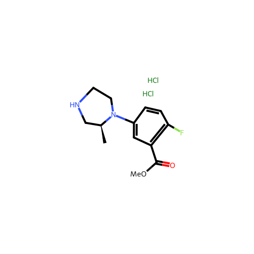 COC(=O)c1cc(N2CCNC[C@@H]2C)ccc1F.Cl.Cl